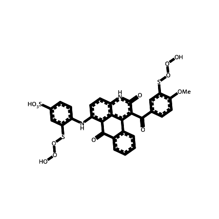 COc1ccc(C(=O)c2c3c4c(c(Nc5ccc(S(=O)(=O)O)cc5SOOO)ccc4[nH]c2=O)C(=O)c2ccccc2-3)cc1SOOO